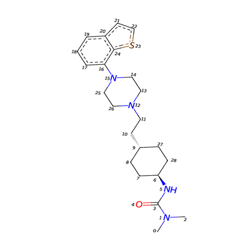 CN(C)C(=O)N[C@H]1CC[C@H](CCN2CCN(c3cccc4ccsc34)CC2)CC1